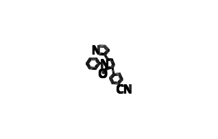 N#Cc1ccc(-c2ccc(-c3cccnc3)n(-c3ccccc3)c2=O)cc1